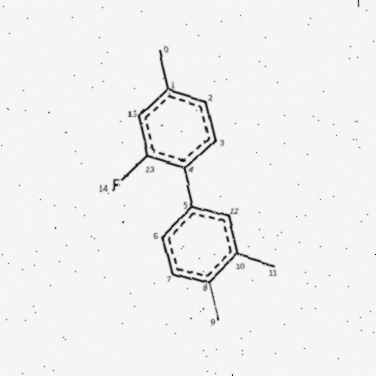 Cc1ccc(-c2ccc(C)c(C)c2)c(F)c1